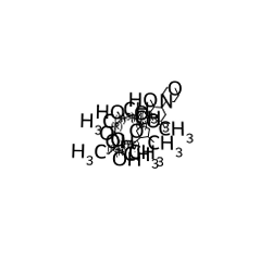 CC[C@@H](O)[C@@](C)(O)[C@@H]1OC(=O)[C@H](C)[C@@H](O)[C@H](C)[C@@H](O[C@@H]2OC(C)CC(N3CCOCC3)C2O)[C@@]2(C)CC(C)C(O2)[C@@H]1C